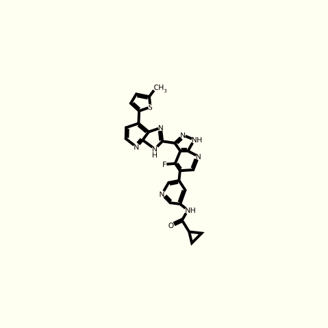 Cc1ccc(-c2ccnc3[nH]c(-c4n[nH]c5ncc(-c6cncc(NC(=O)C7CC7)c6)c(F)c45)nc23)s1